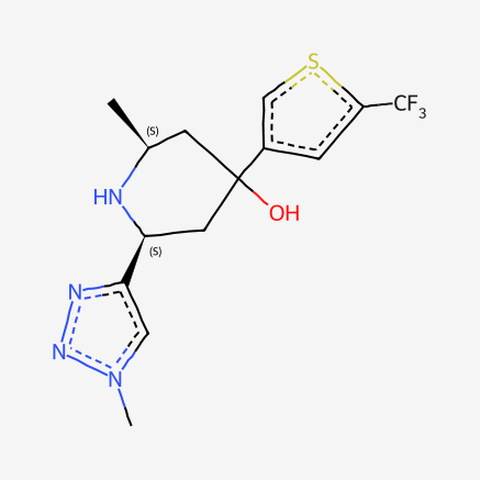 C[C@H]1CC(O)(c2csc(C(F)(F)F)c2)C[C@@H](c2cn(C)nn2)N1